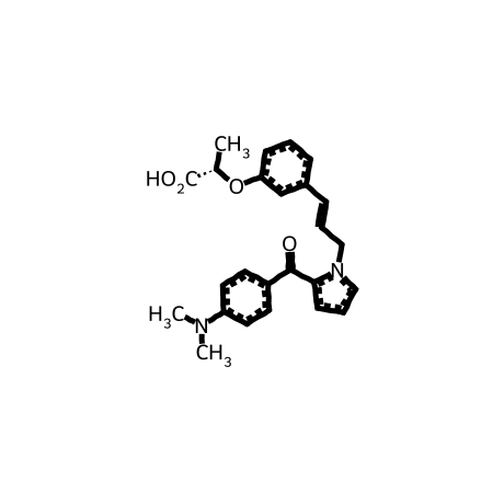 C[C@H](Oc1cccc(/C=C/Cn2cccc2C(=O)c2ccc(N(C)C)cc2)c1)C(=O)O